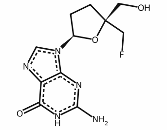 Nc1nc2c(ncn2[C@H]2CC[C@](CO)(CF)O2)c(=O)[nH]1